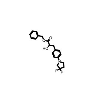 O=C(OCc1ccccc1)C(O)Cc1ccc(N2CCC(F)(F)C2)cc1